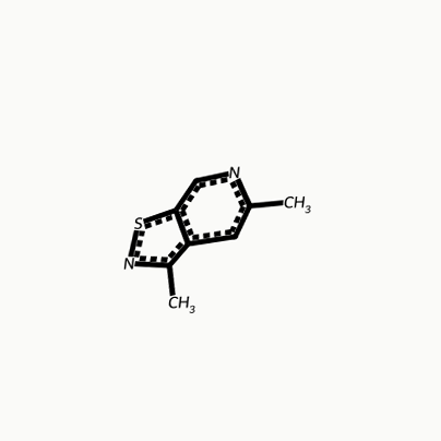 Cc1cc2c(C)nsc2cn1